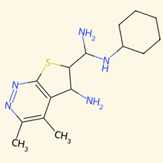 Cc1nnc2c(c1C)C(N)C(C(N)NC1CCCCC1)S2